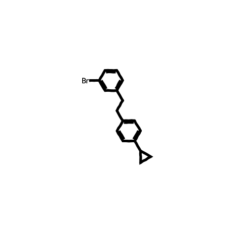 Brc1cccc(CCc2ccc(C3CC3)cc2)c1